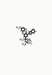 Cc1cccc(Oc2cc(C(C)(C)CC(C)(C)C)cc(-n3nc4ccccc4n3)c2O)c1